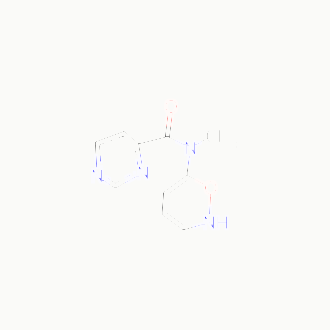 CN(C(=O)c1ccncn1)C1=CC=CNO1